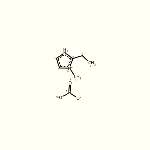 CCc1[nH]cc[n+]1C.O=[N+]([O-])[O-]